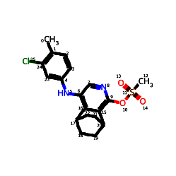 Cc1ccc(Nc2cnc(OS(C)(=O)=O)c3c2C2CCC3CC2)cc1Cl